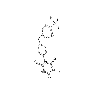 CCn1c(=O)[nH]c(=O)n(-c2ccc(Sc3ccc(C(F)(F)F)cc3)cc2)c1=O